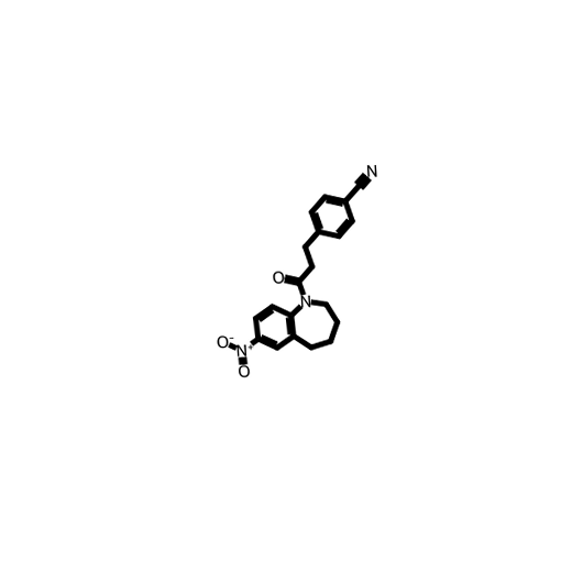 N#Cc1ccc(CCC(=O)N2CCCCc3cc([N+](=O)[O-])ccc32)cc1